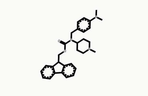 CN1CCC(N(Cc2ccc(N(C)C)cc2)C(=O)OCC2c3ccccc3-c3ccccc32)CC1